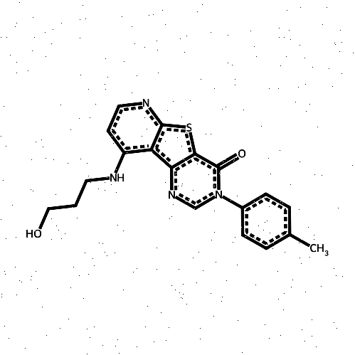 Cc1ccc(-n2cnc3c(sc4nccc(NCCCO)c43)c2=O)cc1